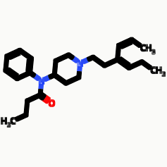 C/C=C\C(=C/CC)CCN1CCC(N(C(=O)CCC)c2ccccc2)CC1